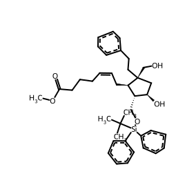 COC(=O)CCC/C=C\C[C@@H]1[C@@H](CO[Si](c2ccccc2)(c2ccccc2)C(C)(C)C)[C@H](O)C[C@@]1(CO)CCc1ccccc1